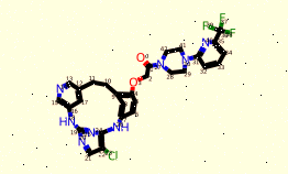 O=C(COc1ccc2cc1CCc1cncc(c1)Nc1ncc(Cl)c(n1)N2)N1CCN(c2cccc(C(F)(F)F)n2)CC1